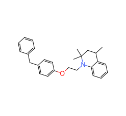 CC1CC(C)(C)N(CCOc2ccc(Cc3ccccc3)cc2)c2ccccc21